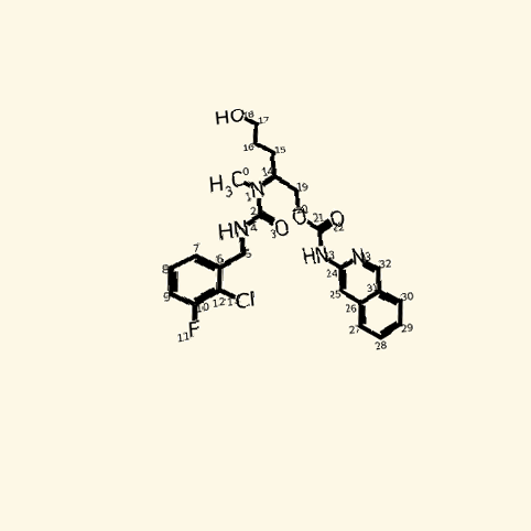 CN(C(=O)NCc1cccc(F)c1Cl)C(CCCO)COC(=O)Nc1cc2ccccc2cn1